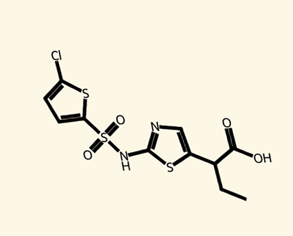 CCC(C(=O)O)c1cnc(NS(=O)(=O)c2ccc(Cl)s2)s1